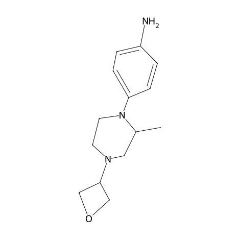 CC1CN(C2COC2)CCN1c1ccc(N)cc1